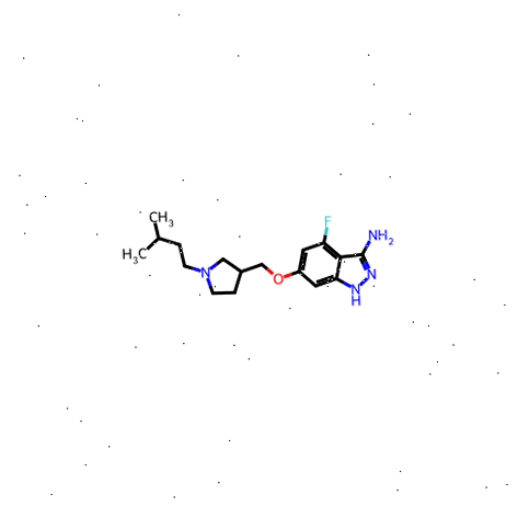 CC(C)CCN1CCC(COc2cc(F)c3c(N)n[nH]c3c2)C1